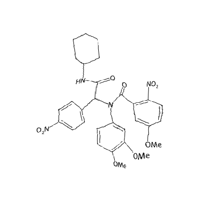 COc1ccc([N+](=O)[O-])c(C(=O)N(c2ccc(OC)c(OC)c2)C(C(=O)NC2CCCCC2)c2ccc([N+](=O)[O-])cc2)c1